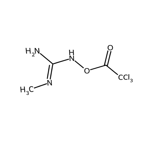 CN=C(N)NOC(=O)C(Cl)(Cl)Cl